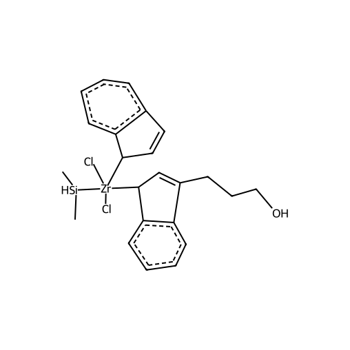 C[SiH](C)[Zr]([Cl])([Cl])([CH]1C=Cc2ccccc21)[CH]1C=C(CCCO)c2ccccc21